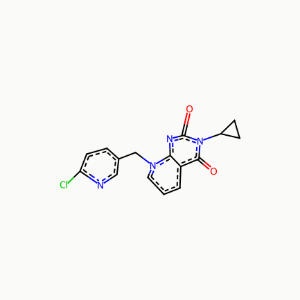 O=c1nc2n(Cc3ccc(Cl)nc3)cccc-2c(=O)n1C1CC1